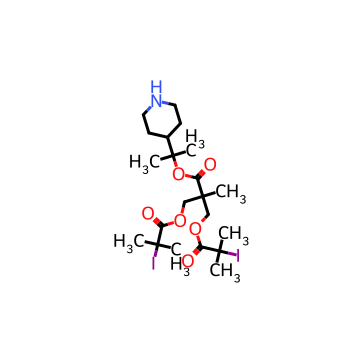 CC(C)(I)C(=O)OCC(C)(COC(=O)C(C)(C)I)C(=O)OC(C)(C)C1CCNCC1